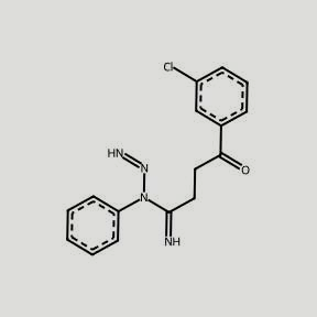 N=NN(C(=N)CCC(=O)c1cccc(Cl)c1)c1ccccc1